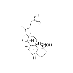 C[C@H](CCC(=O)O)[C@H]1CC[C@H]2[C@@H]3CC[C@@H]4CCCC(O)(O)[C@]4(C)[C@H]3CC[C@]12C